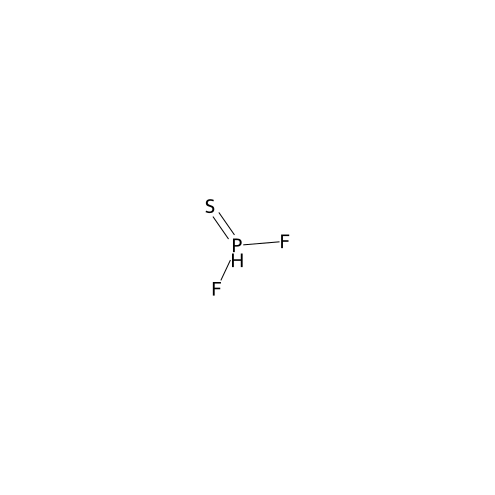 F[PH](F)=S